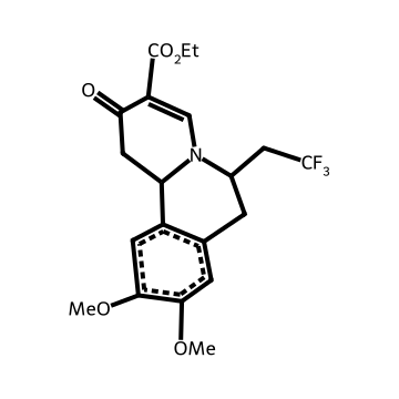 CCOC(=O)C1=CN2C(CC(F)(F)F)Cc3cc(OC)c(OC)cc3C2CC1=O